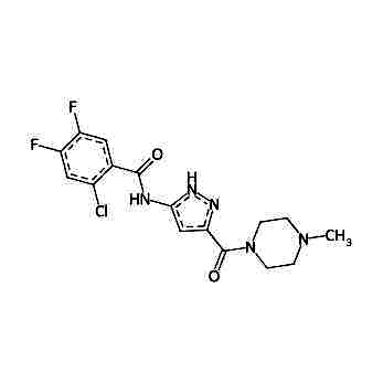 CN1CCN(C(=O)c2cc(NC(=O)c3cc(F)c(F)cc3Cl)[nH]n2)CC1